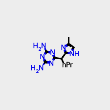 CCCC(c1nc(N)nc(N)n1)c1nc(C)c[nH]1